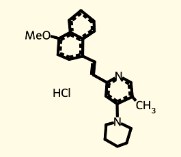 COc1ccc(/C=C/c2cc(N3CCCCC3)c(C)cn2)c2ccccc12.Cl